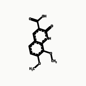 COc1ccc2cc(C(=O)O)c(=O)[nH]c2c1OC